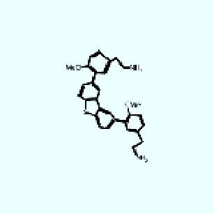 COc1ccc(CCN)cc1-c1ccc2sc3ccc(-c4cc(CCN)ccc4OC)cc3c2c1